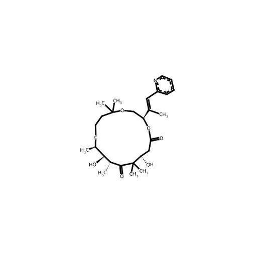 C/C(=C\c1ccccn1)[C@@H]1COC(C)(C)CCC[C@H](C)[C@H](O)[C@@H](C)C(=O)C(C)(C)[C@@H](O)CC(=O)O1